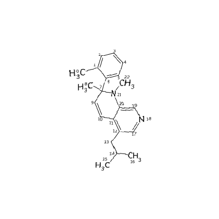 Cc1ccccc1C1(C)C=Cc2c(CC(C)C)cncc2N1C